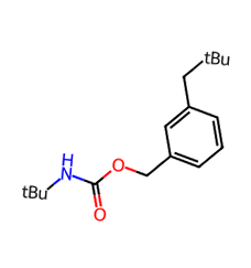 CC(C)(C)Cc1cccc(COC(=O)NC(C)(C)C)c1